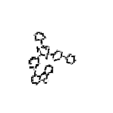 C1=C(c2ccccc2)CCC(c2nc(-c3ccccc3)nc(-c3cccc(-c4cccc5oc6ccccc6c45)c3)n2)=C1